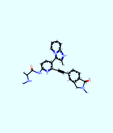 CNC(C)C(=O)Nc1ccc(-c2c(C)nc3ccccn23)c(C#Cc2ccc3c(c2)CN(C)C3=O)n1